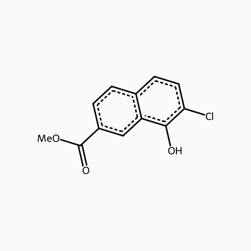 COC(=O)c1ccc2ccc(Cl)c(O)c2c1